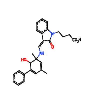 CC1=CC(C)(NC=C2C(=O)N(CCCC(=O)O)c3ccccc32)C(O)C(c2ccccc2)=C1